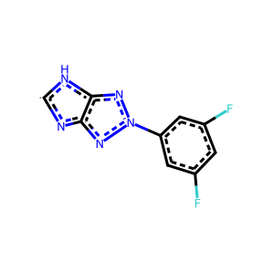 Fc1cc(F)cc(-n2nc3n[c][nH]c3n2)c1